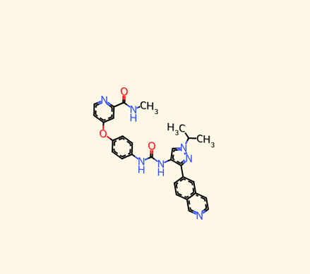 CNC(=O)c1cc(Oc2ccc(NC(=O)Nc3cn(C(C)C)nc3-c3ccc4cnccc4c3)cc2)ccn1